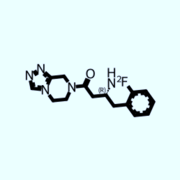 N[C@@H](CC(=O)N1CCn2cnnc2C1)Cc1ccccc1F